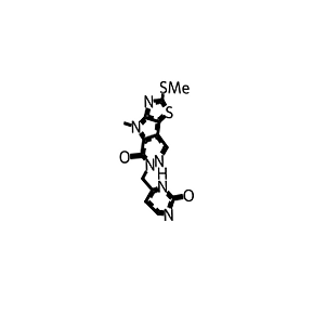 CSc1nc2c(s1)c1cnn(Cc3ccnc(=O)[nH]3)c(=O)c1n2C